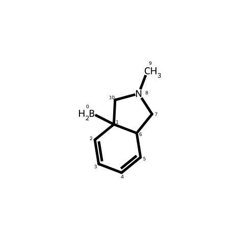 BC12C=CC=CC1CN(C)C2